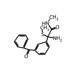 CNC(=O)C(N)(SC)c1cccc(C(=O)c2ccccc2)c1